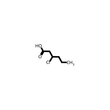 CCCC(Cl)CC(=O)O